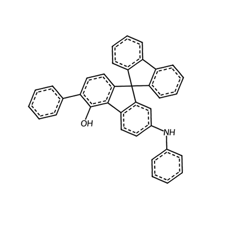 Oc1c(-c2ccccc2)ccc2c1-c1ccc(Nc3ccccc3)cc1C21c2ccccc2-c2ccccc21